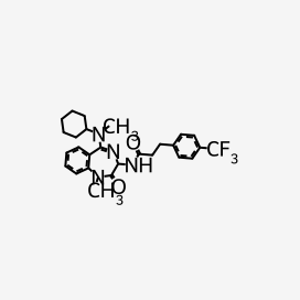 CN1C(=O)C(NC(=O)CCc2ccc(C(F)(F)F)cc2)N=C(N(C)C2CCCCC2)c2ccccc21